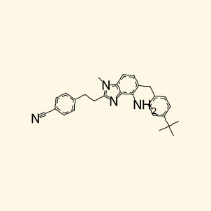 Cn1c(CCc2ccc(C#N)cc2)nc2c(N)c(Cc3ccc(C(C)(C)C)cc3)ccc21